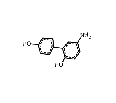 Nc1ccc(O)c(-c2ccc(O)cc2)c1